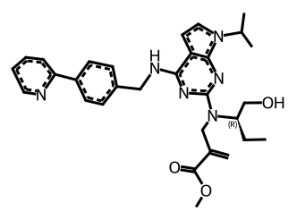 C=C(CN(c1nc(NCc2ccc(-c3ccccn3)cc2)c2ccn(C(C)C)c2n1)[C@H](CC)CO)C(=O)OC